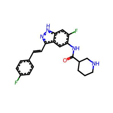 O=C(Nc1cc2c(/C=C/c3ccc(F)cc3)n[nH]c2cc1F)C1CCCNC1